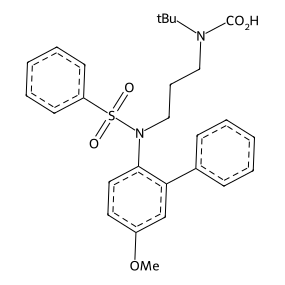 COc1ccc(N(CCCN(C(=O)O)C(C)(C)C)S(=O)(=O)c2ccccc2)c(-c2ccccc2)c1